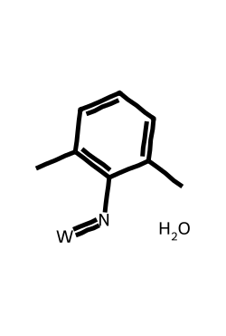 Cc1cccc(C)c1[N]=[W].O